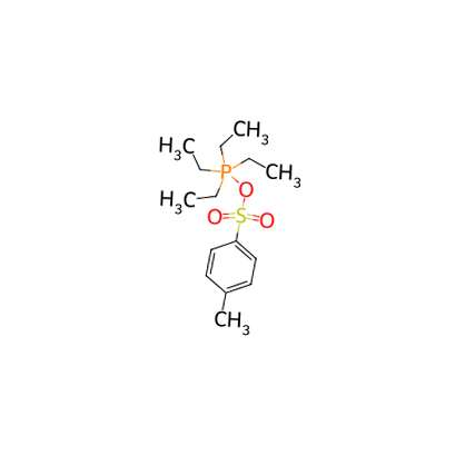 CCP(CC)(CC)(CC)OS(=O)(=O)c1ccc(C)cc1